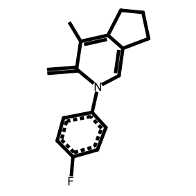 C=C1C(C)=C2CCCC2=CN1c1ccc(F)cc1